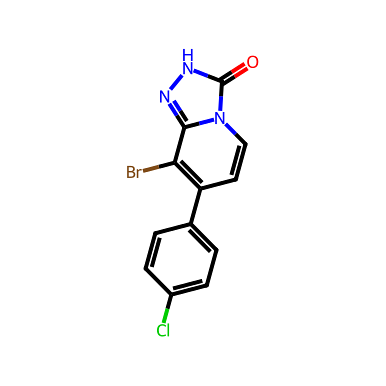 O=c1[nH]nc2c(Br)c(-c3ccc(Cl)cc3)ccn12